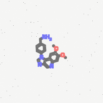 COc1cc2ncc3ncn(-c4ccc(CN)cc4)c3c2cc1OC